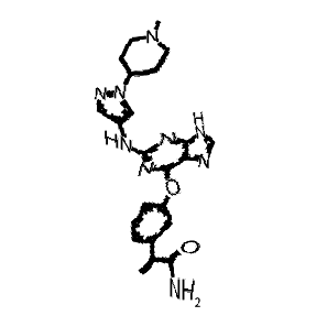 C=C(C(N)=O)c1cccc(Oc2nc(Nc3cnn(C4CCN(C)CC4)c3)nc3[nH]cnc23)c1